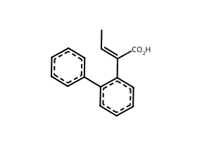 CC=C(C(=O)O)c1ccccc1-c1ccccc1